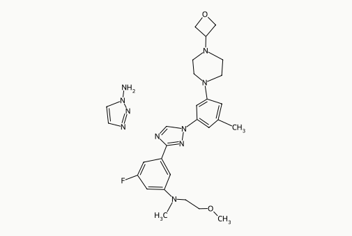 COCCN(C)c1cc(F)cc(-c2ncn(-c3cc(C)cc(N4CCN(C5COC5)CC4)c3)n2)c1.Nn1ccnn1